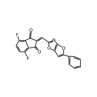 O=C1C(=Cc2nc3oc(-c4ccccc4)cc3o2)C(=O)c2c(F)ccc(F)c21